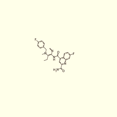 C=N/C(NC(=O)c1cc(C(N)=O)nc2cc(F)ccc12)=C(/CC)N(C)Cc1ccc(F)cc1